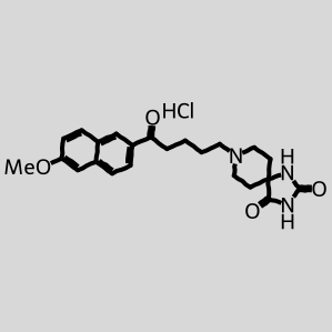 COc1ccc2cc(C(=O)CCCCN3CCC4(CC3)NC(=O)NC4=O)ccc2c1.Cl